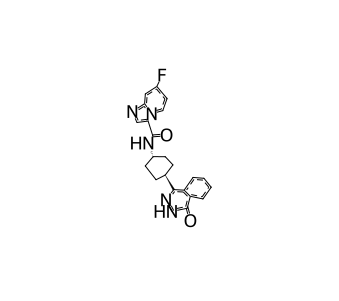 O=C(N[C@H]1CC[C@H](c2n[nH]c(=O)c3ccccc32)CC1)c1cnc2cc(F)ccn12